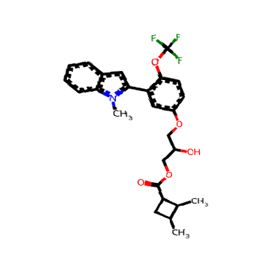 CC1CC(C(=O)OCC(O)COc2ccc(OC(F)(F)F)c(-c3cc4ccccc4n3C)c2)C1C